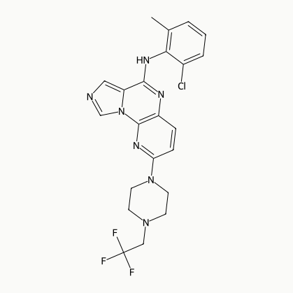 Cc1cccc(Cl)c1Nc1nc2ccc(N3CCN(CC(F)(F)F)CC3)nc2n2cncc12